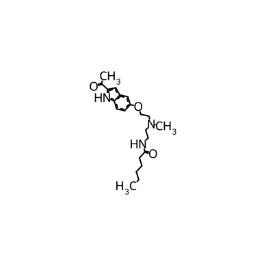 CCCCCC(=O)NCCN(C)CCOc1ccc2[nH]c(C(C)=O)cc2c1